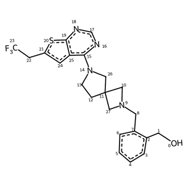 OCc1ccccc1CN1CC2(CCN(c3ncnc4sc(CC(F)(F)F)cc34)C2)C1